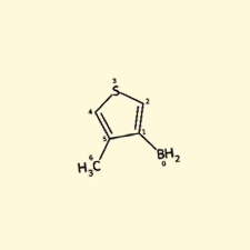 Bc1cscc1C